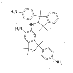 CC1(C)CC(C)(c2ccc(N)cc2)c2cc(NC3C(C)(C)c4ccccc4C3(C)c3ccc(N)cc3)c(N)cc21